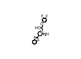 CNC1CC(c2nc3ccccc3s2)CCN1CC(O)COc1ccc(F)c(F)c1